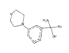 CCC(N)(O)c1cccc(N2CCOCC2)c1